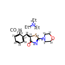 CCN(CC)CC.O=C1N=C(N2CCOCC2)S/C1=C/c1ccccc1C(=O)O